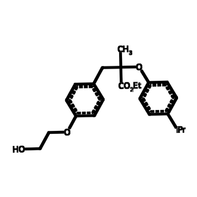 CCOC(=O)C(C)(Cc1ccc(OCCO)cc1)Oc1ccc(C(C)C)cc1